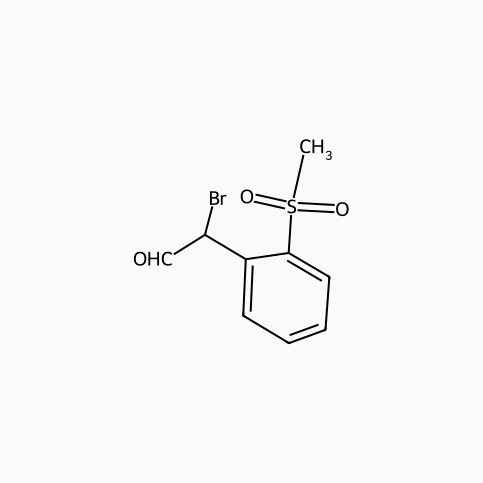 CS(=O)(=O)c1ccccc1C(Br)C=O